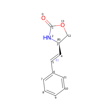 O=C1N[C@H](/C=C/c2ccccc2)CO1